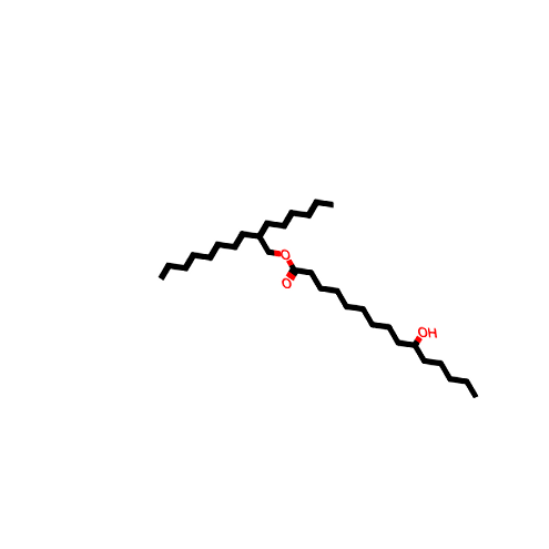 CCCCCCCCC(CCCCCC)COC(=O)CCCCCCCCC(O)CCCCC